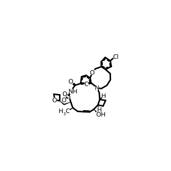 C[C@@H]1C/C=C\[C@H](O)[C@@H]2CC[C@H]2CN2CCCCc3cc(Cl)ccc3COc3ccc(cc32)C(=O)NS(=O)(=O)[C@@H]1C[C@@H]1CCO1